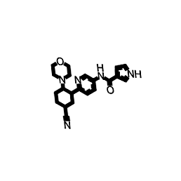 N#CC1CCC(N2CCOCC2)C(c2ccc(NC(=O)c3cc[nH]c3)cn2)C1